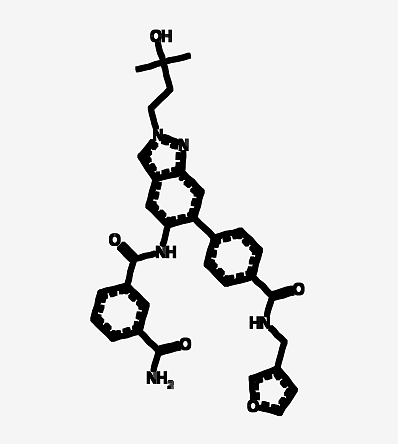 CC(C)(O)CCn1cc2cc(NC(=O)c3cccc(C(N)=O)c3)c(-c3ccc(C(=O)NCc4ccoc4)cc3)cc2n1